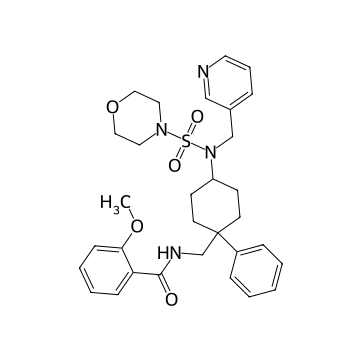 COc1ccccc1C(=O)NCC1(c2ccccc2)CCC(N(Cc2cccnc2)S(=O)(=O)N2CCOCC2)CC1